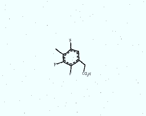 Cc1c(F)cc(CC(=O)O)c(F)c1F